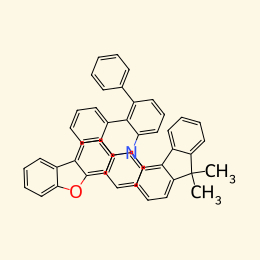 CC1(C)c2ccccc2-c2c(N(c3ccc4c(c3)oc3ccccc34)c3cccc(-c4ccccc4)c3-c3ccccc3-c3ccccc3)cccc21